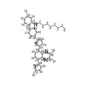 CCCCCCCCn1c2cc(C)ccc2c2ccc(-c3ccc(-c4ccc(-c5ccc(C)s5)c5nc(C)c(C)nc45)s3)cc21